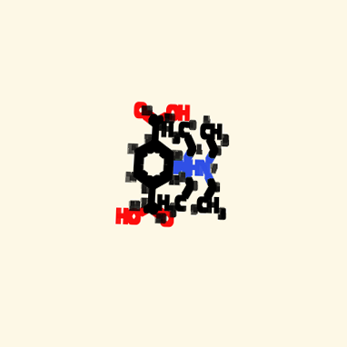 CCNCC.CCNCC.O=C(O)c1ccc(C(=O)O)cc1